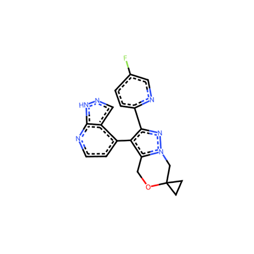 Fc1ccc(-c2nn3c(c2-c2ccnc4[nH]ncc24)COC2(CC2)C3)nc1